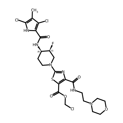 Cc1c(Cl)[nH]c(C(=O)N[C@@H]2CCN(c3nc(C(=O)NCCN4CCOCC4)c(C(=O)OCCl)s3)C[C@@H]2F)c1Cl